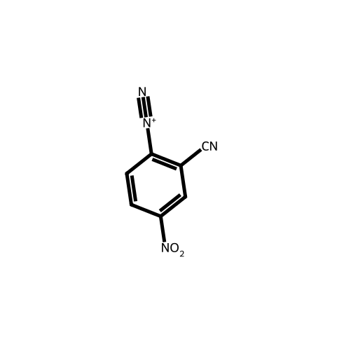 N#Cc1cc([N+](=O)[O-])ccc1[N+]#N